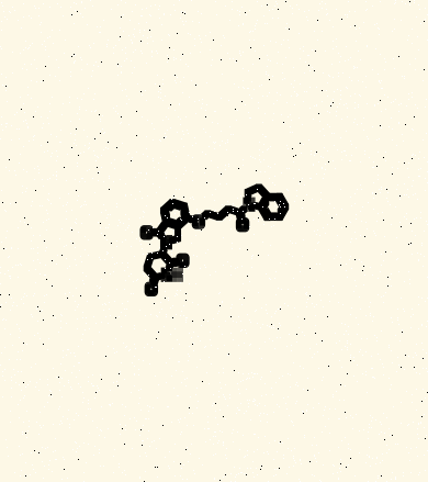 O=C1CCC(N2Cc3c(OCCCC(=O)N4CCc5ccccc54)cccc3C2=O)C(=O)N1